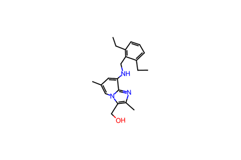 CCc1cccc(CC)c1CNc1cc(C)cn2c(CO)c(C)nc12